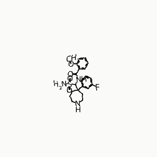 COc1ccccc1C(=O)NC(C1(c2cccc(F)c2)CCCNCC1)S(N)(=O)=O